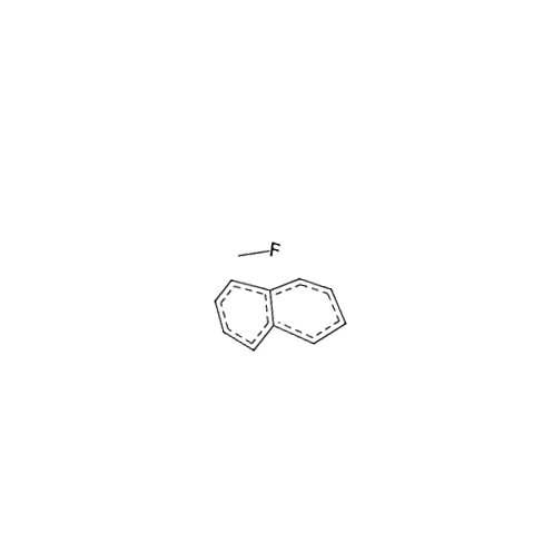 CF.c1ccc2ccccc2c1